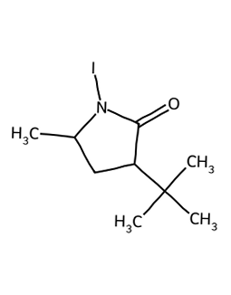 CC1CC(C(C)(C)C)C(=O)N1I